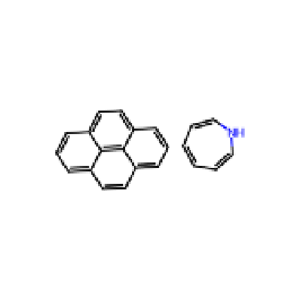 C1=CC=CNC=C1.c1cc2ccc3cccc4ccc(c1)c2c34